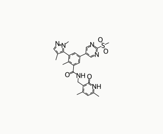 Cc1cc(C)c(CNC(=O)c2cc(-c3cnc(S(C)(=O)=O)nc3)cc(-c3c(C)cnn3C)c2C)c(=O)[nH]1